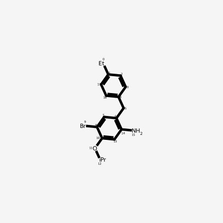 CCc1ccc(Cc2cc(Br)c(OC(C)C)cc2N)cc1